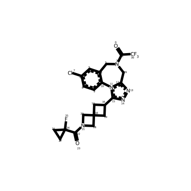 O=C(N1Cc2cc(Cl)ccc2-n2c(nnc2C2CC3(C2)CN(C(=O)C2(F)CC2)C3)C1)C(F)(F)F